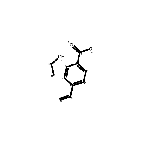 C=Cc1ccc(C(=O)O)cc1.CCO